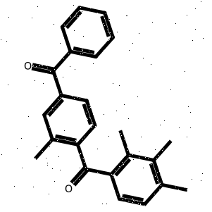 Cc1cc(C(=O)c2ccccc2)ccc1C(=O)c1ccc(C)c(C)c1C